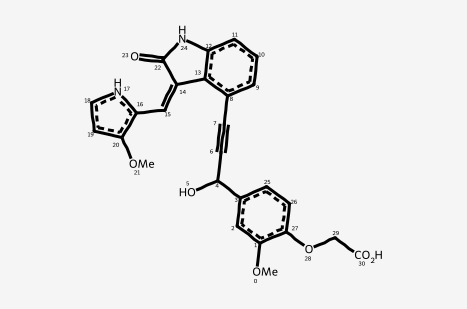 COc1cc(C(O)C#Cc2cccc3c2C(=Cc2[nH]ccc2OC)C(=O)N3)ccc1OCC(=O)O